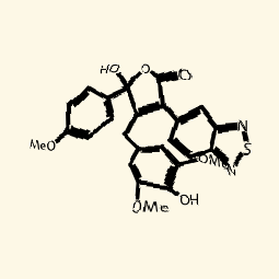 COc1ccc(C2(O)OC(=O)C(c3ccc4nsnc4c3)=C2Cc2cc(OC)c(O)c(OC)c2)cc1